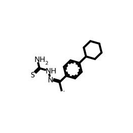 [CH2]/C(=N/NC(N)=S)c1ccc(C2CCCCC2)cc1